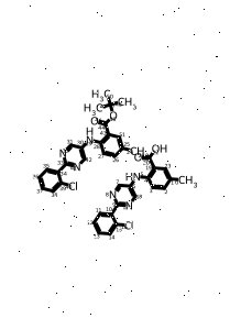 Cc1ccc(Nc2cnc(-c3ccccc3Cl)nc2)c(C(=O)O)c1.Cc1ccc(Nc2cnc(-c3ccccc3Cl)nc2)c(C(=O)OC(C)(C)C)c1